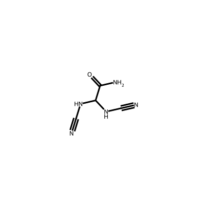 N#CNC(NC#N)C(N)=O